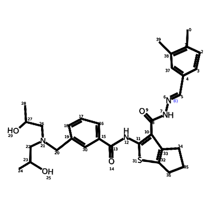 Cc1ccc(/C=N/NC(=O)c2c(NC(=O)c3cccc(CN(CC(C)O)CC(C)O)c3)sc3c2CCC3)cc1C